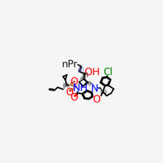 C=CCC[C@H](C1CC1)S(=O)(=O)NC(=O)c1ccc2c(c1)N(C[C@@H]1CC[C@H]1[C@@H](O)/C=C/CCC)C[C@@]1(CCCc3cc(Cl)ccc31)CO2